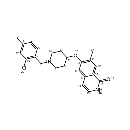 Cc1ccc(CN2CCC(Oc3cc4cc[nH]c(=O)c4cc3C)CC2)c(Cl)c1